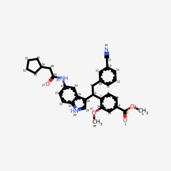 COC(=O)c1ccc(C(Cc2cccc(C#N)c2)c2c[nH]c3ccc(NC(=O)CC4CCCC4)cc23)c(OC)c1